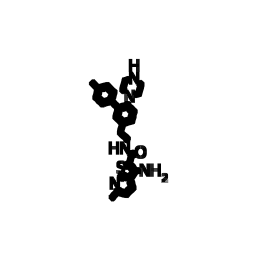 Cc1ccc(-c2cc(CCNC(=O)c3sc4nc(C)ccc4c3N)ccc2N2CCNCC2)cc1